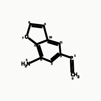 C=Pc1cc(N)c2occc2c1